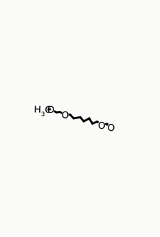 COCCOCCCCCCCOC=O